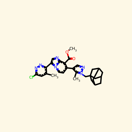 COC(=O)c1c(-c2cnn(CC34CC5CC(CC(C5)C3)C4)c2C)ccn2c(-c3nnc(Cl)cc3C)cnc12